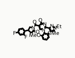 CCn1ccc(-c2nc(=O)c(C(=O)N3CCC(c4ccc(F)cc4F)C3)c(O)n2-c2c(OC)cccc2OC)n1